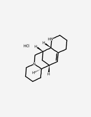 C1=C2CCCN[C@H]2[C@@H]2C[C@H]1[C@H]1CCCCN1C2.Cl